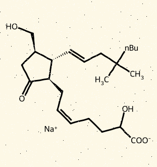 CCCCC(C)(C)C/C=C/[C@H]1[C@H](CO)CC(=O)[C@@H]1C/C=C\CCC(O)C(=O)[O-].[Na+]